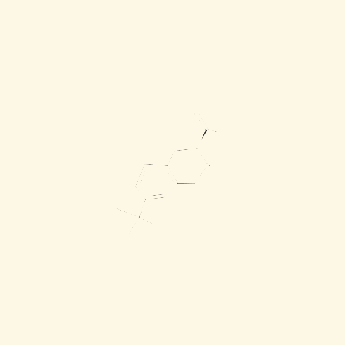 CC(C)(C)c1ccc2c(c1)CN[C@H](C(=O)O)C2